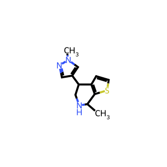 CC1NCC(c2cnn(C)c2)c2ccsc21